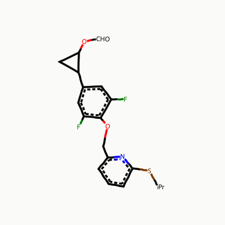 CC(C)Sc1cccc(COc2c(F)cc(C3CC3OC=O)cc2F)n1